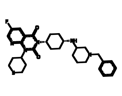 O=c1c2cc(F)cnc2n(C2CCSCC2)c(=O)n1[C@H]1CC[C@@H](NC2CCCN(Cc3ccccc3)C2)CC1